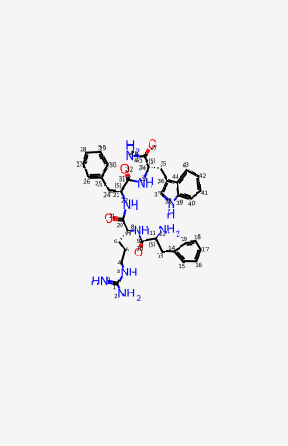 N=C(N)NCCC[C@@H](NC(=O)[C@@H](N)Cc1ccccc1)C(=O)N[C@@H](Cc1ccccc1)C(=O)N[C@@H](Cc1c[nH]c2ccccc12)C(N)=O